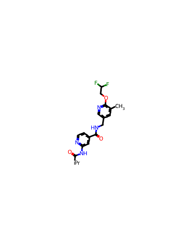 Cc1cc(CNC(=O)c2ccnc(NC(=O)C(C)C)c2)cnc1OCC(F)F